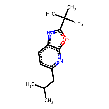 CC(C)Cc1ccc2nc(C(C)(C)C)oc2n1